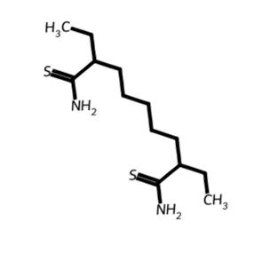 CCC(CCCCCC(CC)C(N)=S)C(N)=S